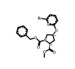 COC(=O)[C@@H]1C[C@H](Oc2cccc(Br)n2)CN1C(=O)OCc1ccccc1